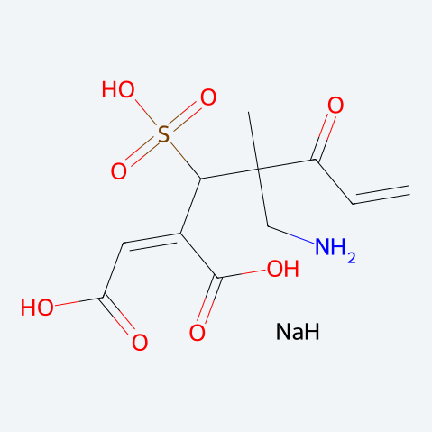 C=CC(=O)C(C)(CN)C(/C(=C/C(=O)O)C(=O)O)S(=O)(=O)O.[NaH]